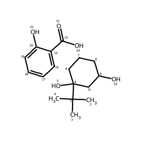 CC(C)(C)C1(O)CCCC(O)C1.O=C(O)c1ccccc1O